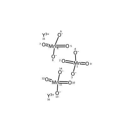 [O]=[Mn](=[O])([O-])[O-].[O]=[Mn](=[O])([O-])[O-].[O]=[Mn](=[O])([O-])[O-].[Y+3].[Y+3]